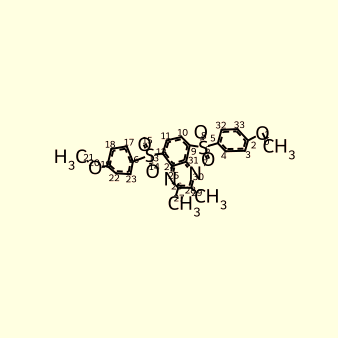 COc1ccc(S(=O)(=O)c2ccc(S(=O)(=O)c3ccc(OC)cc3)c3nc(C)c(C)nc23)cc1